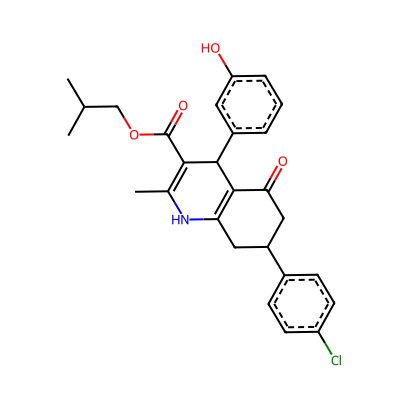 CC1=C(C(=O)OCC(C)C)C(c2cccc(O)c2)C2=C(CC(c3ccc(Cl)cc3)CC2=O)N1